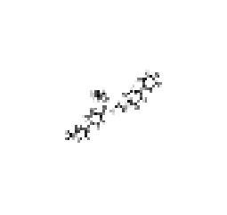 Cl.Cl.O=C1CCC(c2ccc(CCCCN3CCN(c4ccccc4)CC3)cc2)O1